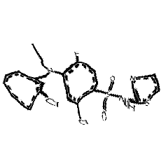 CCN(c1cc(Cl)c(S(=O)(=O)Nc2nccs2)cc1F)c1ccccc1Cl